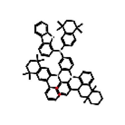 Cc1cc2c3c(c1)N(c1cc4c(cc1-c1ccccc1)C(C)(C)CCC4(C)C)c1cc(N(c4ccc5c(c4)C(C)(C)CCC5(C)C)c4cccc5c4oc4ccccc45)ccc1B3c1cccc3c1C2CC1(C)CCCCC31C